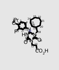 CC(C)Oc1ccc(/N=c2\[nH]c(=O)n(CCC(=O)O)c(=O)n2CC2CCCCCCC2)cc1F